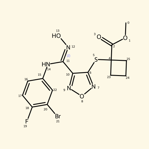 COC(=O)C1(Sc2nonc2/C(=N/O)Nc2ccc(F)c(Br)c2)CCC1